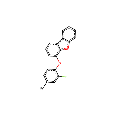 CC(C)c1ccc(Oc2cccc3c2oc2ccccc23)c(F)c1